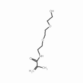 C=C(C)C(=O)NCCOCCOCCO